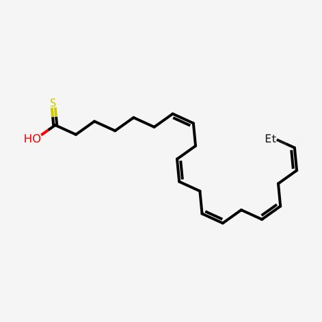 CC/C=C\C/C=C\C/C=C\C/C=C\C/C=C\CCCCCC(O)=S